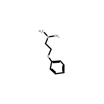 CN(C)CCSc1cc[c]cc1